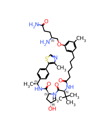 Cc1cc(CCCCCC(=O)N[C@H](C(=O)N2C[C@H](O)C[C@H]2C(=O)N[C@@H](C)c2ccc(-c3scnc3C)cc2)C(C)(C)C)cc(OC[C@@H](N)CCC(N)=O)c1